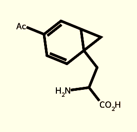 CC(=O)C1=CC2CC2(CC(N)C(=O)O)C=C1